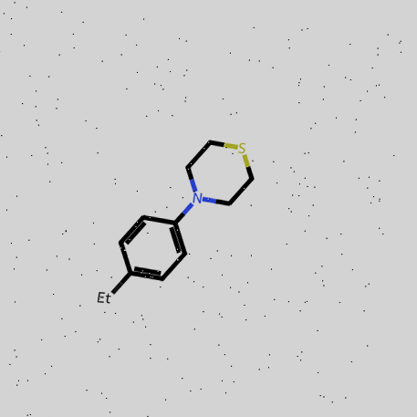 CCc1ccc(N2CCSCC2)cc1